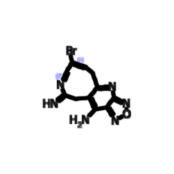 N=C1Cc2c(nc3nonc3c2N)C/C=C(Br)\C=N/1